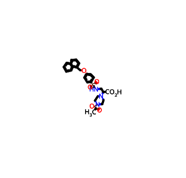 CS(=O)(=O)N1CCN(C(CNS(=O)(=O)c2ccc(OCc3cccc4ccccc34)cc2)C(=O)O)CC1